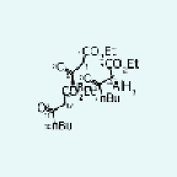 CCCCC(=O)CC(=O)OCC.CCCCC(=O)CC(=O)OCC.CCCCC(=O)CC(=O)OCC.[AlH3]